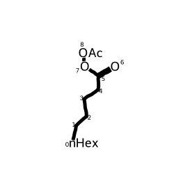 CCCCCCCCCCC(=O)OOC(C)=O